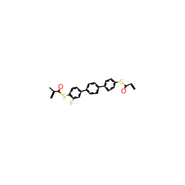 C=CC(=O)Sc1ccc(-c2ccc(-c3ccc(SC(=O)C(=C)C)c(F)c3)cc2)cc1